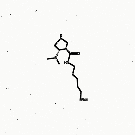 CCCCCCCCCCCCCCNC(=O)[C@@H]1CNC[C@H]1N(C)C